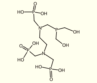 O=P(O)(O)CN(CCN(CP(=O)(O)O)CP(=O)(O)O)CP(CO)CO